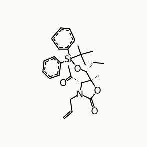 C=CCN1C(=O)O[C@](C)([C@@H](CC)O[Si](c2ccccc2)(c2ccccc2)C(C)(C)C)[C@H]1C(C)=O